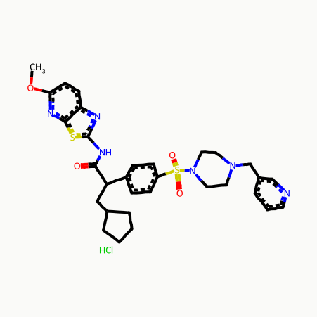 COc1ccc2nc(NC(=O)C(CC3CCCC3)c3ccc(S(=O)(=O)N4CCN(Cc5cccnc5)CC4)cc3)sc2n1.Cl